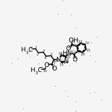 CCCCCCC(C(=O)OCC)n1cnc(NC(=O)c2ccccc2C(=O)O)c1